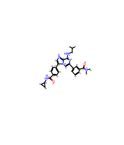 CC(C)CNc1nc(-c2cccc(C(=O)N(C)C)c2)cn2c(-c3ccc(C(=O)NC4CC4)cc3)cnc12